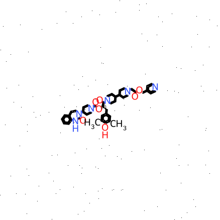 Cc1cc(C[C@@H](OC(=O)N2CCC(N3CCc4ccccc4NC3=O)CC2)C(=O)N2CCC(C3CCN(CC(=O)OCc4ccncc4)CC3)CC2)cc(C)c1O